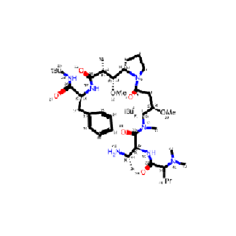 CC[C@H](C)[C@@H]([C@@H](CC(=O)N1CCC[C@H]1[C@H](OC)[C@@H](C)C(=O)N[C@@H](Cc1ccccc1)C(=O)NC(C)(C)C)OC)N(C)C(=O)[C@@H](NC(=O)C(C(C)C)N(C)C)[C@H](C)N